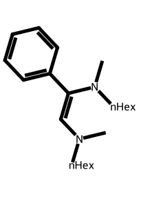 CCCCCCN(C)C=C(c1ccccc1)N(C)CCCCCC